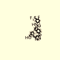 O=C(Nc1ccc(F)c(C(F)(F)F)c1)n1ccc2cc(Oc3cc(CN4CCC[C@@H]4CO)ncn3)ccc21